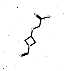 O=CN1CC(OCC(=O)O)C1